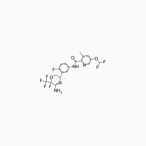 Cc1cc(OC(F)F)cnc1C(=O)Nc1ccc(F)c([C@]2(C)CO[C@@](C)(C(F)(F)F)C(N)=N2)c1